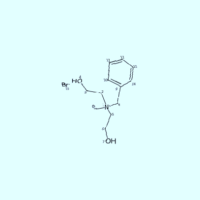 C[N+](CCO)(CCO)Cc1ccccc1.[Br-]